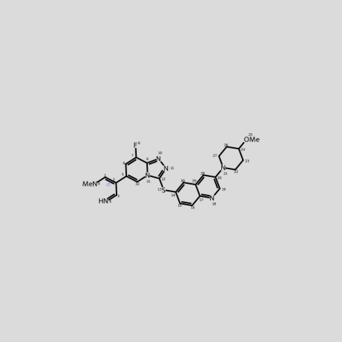 CN/C=C(\C=N)c1cc(F)c2nnc(Sc3ccc4ncc(N5CCC(OC)CC5)cc4c3)n2c1